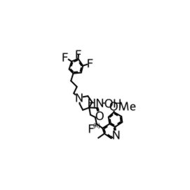 COc1ccc2ncc(C)c([C@H](F)CCC3(C(=O)NO)CCN(CCCc4cc(F)c(F)c(F)c4)CC3)c2c1